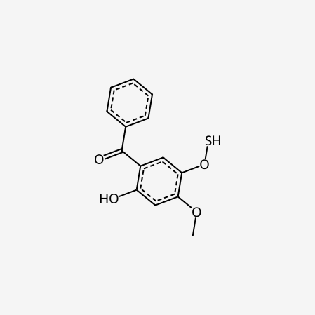 COc1cc(O)c(C(=O)c2ccccc2)cc1OS